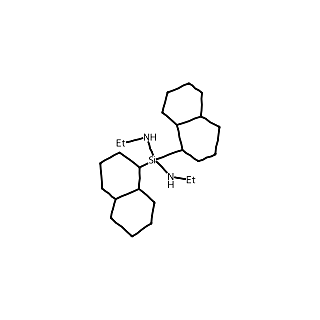 CCN[Si](NCC)(C1CCCC2CCCCC21)C1CCCC2CCCCC21